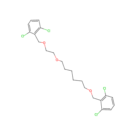 Clc1cccc(Cl)c1COCCCCCCOCCOCc1c(Cl)cccc1Cl